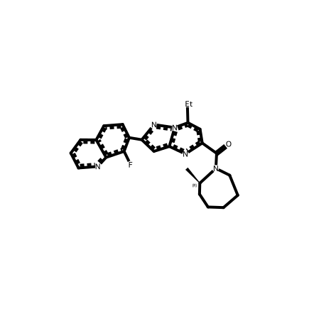 CCc1cc(C(=O)N2CCCCC[C@H]2C)nc2cc(-c3ccc4cccnc4c3F)nn12